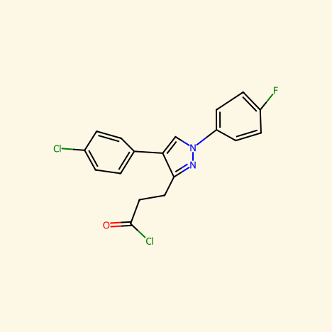 O=C(Cl)CCc1nn(-c2ccc(F)cc2)cc1-c1ccc(Cl)cc1